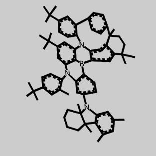 Cc1cc(C)c2c(c1)N(c1ccc3c(c1)N(c1ccc(C(C)(C)C)cc1C)c1cc(C(C)(C)C)cc4c1B3c1cc3c5cc1N4c1ccc(C(C)(C)C)cc1-c1ccc(cc1)C5(C)CCC3(C)C)C1(C)CCCCC21C